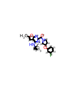 Cc1cc2c(NC3(C)CC3)nc(C(=O)N3CCC(Oc4cccc(F)c4)C3)nc2o1